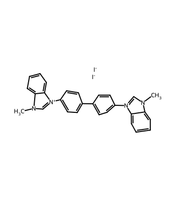 Cn1c[n+](-c2ccc(-c3ccc(-[n+]4cn(C)c5ccccc54)cc3)cc2)c2ccccc21.[I-].[I-]